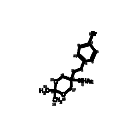 CC(=O)NC1(CCc2ccc(Br)cc2)COC(C)(C)OC1